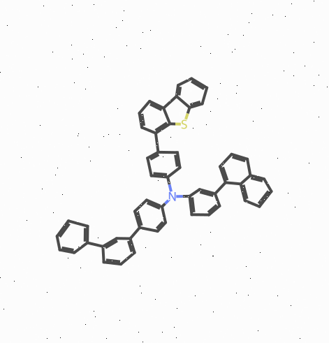 c1ccc(-c2cccc(-c3ccc(N(c4ccc(-c5cccc6c5sc5ccccc56)cc4)c4cccc(-c5cccc6ccccc56)c4)cc3)c2)cc1